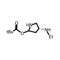 CCN[C@H]1CNC(OC(=O)C(C)(C)C)C1